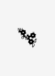 COc1ccc(C2=NN(C(=O)c3cccc(CN)c3)CC2c2ccccc2)cc1OC